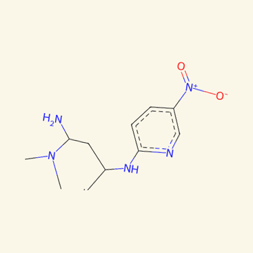 [CH2]C(CC(N)N(C)C)Nc1ccc([N+](=O)[O-])cn1